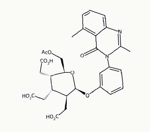 CC(=O)OC[C@H]1O[C@@H](Oc2cccc(-n3c(C)nc4cccc(C)c4c3=O)c2)[C@@H](CC(=O)O)[C@H](CC(=O)O)[C@@H]1CC(=O)O